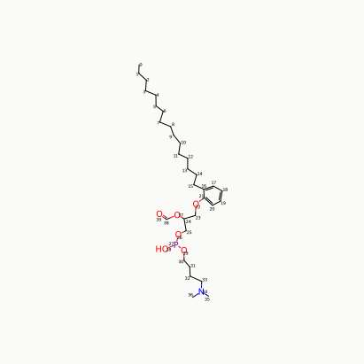 CCCCCCCCCCCCCCCCc1ccccc1OCC(COP(O)OCCCCN(C)C)OC=O